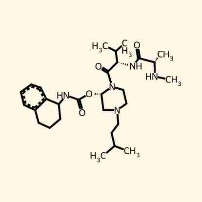 CN[C@@H](C)C(=O)N[C@H](C(=O)N1CCN(CCC(C)C)C[C@@H]1OC(=O)NC1CCCc2ccccc21)C(C)C